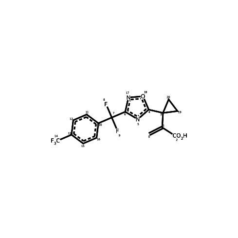 C=C(C(=O)O)C1(c2nc(C(F)(F)c3ccc(C(F)(F)F)cc3)no2)CC1